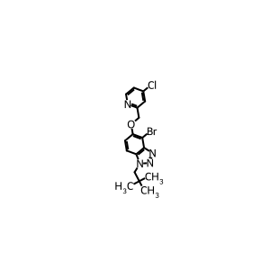 CC(C)(C)Cn1nnc2c(Br)c(OCc3cc(Cl)ccn3)ccc21